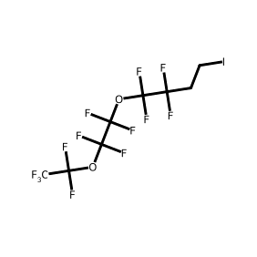 FC(F)(F)C(F)(F)OC(F)(F)C(F)(F)OC(F)(F)C(F)(F)CCI